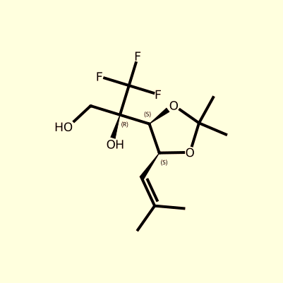 CC(C)=C[C@@H]1OC(C)(C)O[C@@H]1[C@](O)(CO)C(F)(F)F